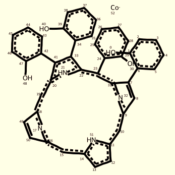 Oc1ccccc1C1=Cc2cc3ccc(cc4nc(cc5[nH]c(c(-c6ccccc6O)c1n2)c(-c1ccccc1O)c5-c1ccccc1O)C=C4)[nH]3.[Co]